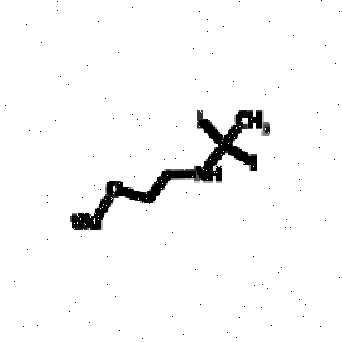 CC(I)(I)NCCOC(C)(C)C